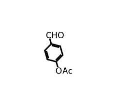 [CH2]C(=O)Oc1ccc(C=O)cc1